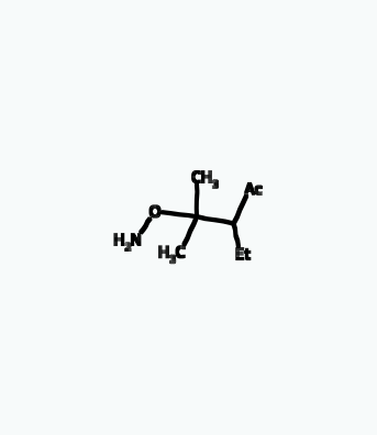 CCC(C(C)=O)C(C)(C)ON